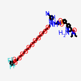 CCCN(CCC)C(=O)C1=Cc2ccc(-c3cccc(S(=O)(=O)N4CC(CN/C(=N\c5cccc(C#N)c5)NCCOCCOCCOCCOCCOCCOCCOCCOCCOCCOCCC(=O)Oc5c(F)c(F)cc(F)c5F)C4)c3)cc2N=C(N)C1